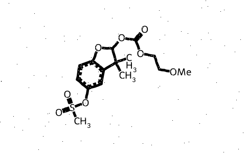 COCCOC(=O)OC1Oc2ccc(OS(C)(=O)=O)cc2C1(C)C